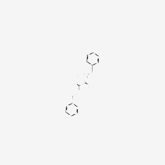 O=C(NCc1cccc(F)c1)C(=O)OCc1ccccc1